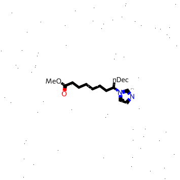 CCCCCCCCCCC(CCCCCCC(=O)OC)n1ccnc1